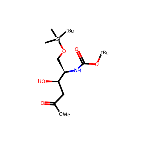 COC(=O)C[C@@H](O)[C@@H](CO[Si](C)(C)C(C)(C)C)NC(=O)OC(C)(C)C